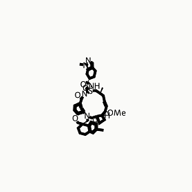 CO[C@H]1/C=C/C[C@H](C)C[S@@](=O)(NC(=O)[C@H]2CCc3cnn(C)c3C2)=NC(=O)c2ccc3c(c2)N(C[C@@H]2CC[C@H]21)C[C@@]1(CCCc2cc(C)ccc21)CO3